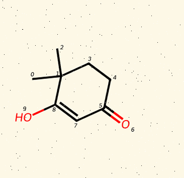 CC1(C)CCC(=O)C=C1O